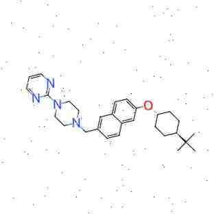 CC(C)(C)[C@H]1CC[C@H](Oc2ccc3cc(CN4CCN(c5ncccn5)CC4)ccc3c2)CC1